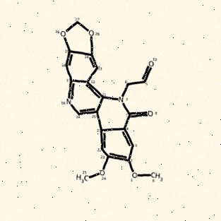 COc1cc2c(=O)n(CC=O)c3c4cc5c(cc4ncc3c2cc1OC)OCO5